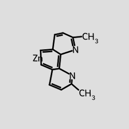 Cc1ccc2ccc3ccc(C)nc3c2n1.[Zn]